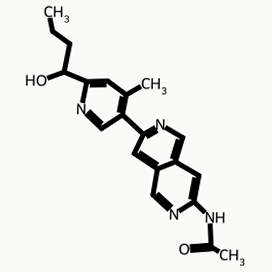 CCCC(O)c1cc(C)c(-c2cc3cnc(NC(C)=O)cc3cn2)cn1